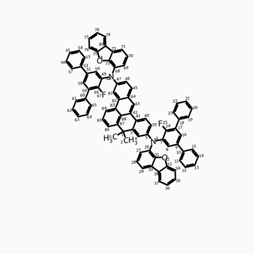 CC1(C)c2cc(N(c3cc(-c4ccccc4)cc(-c4ccccc4)c3F)c3cccc4c3oc3ccccc34)ccc2-c2cc3ccc(N(c4cc(-c5ccccc5)cc(-c5ccccc5)c4F)c4cccc5c4oc4ccccc45)cc3c3cccc1c23